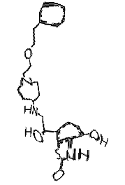 O=c1[nH]c2c(O)ccc(C(O)CNC3CCN(CCOCCc4ccccc4)CC3)c2s1